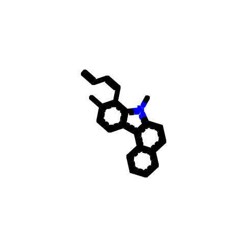 C=C/C=C\c1c(C)ccc2c3c4ccccc4ccc3n(C)c12